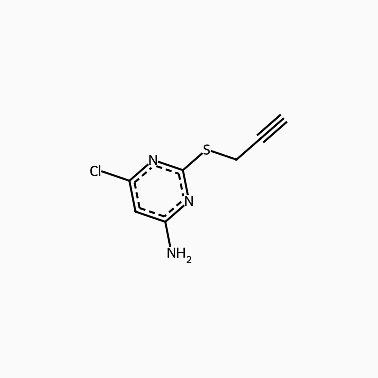 C#CCSc1nc(N)cc(Cl)n1